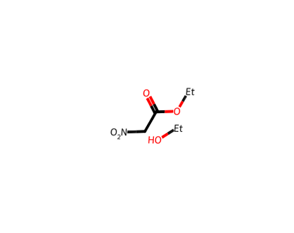 CCO.CCOC(=O)C[N+](=O)[O-]